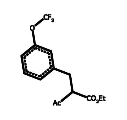 CCOC(=O)C(Cc1cccc(OC(F)(F)F)c1)C(C)=O